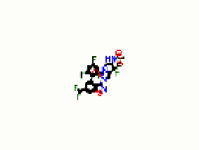 CS(=O)(=O)N[C@@H]1Cn2c(cn(-c3noc4cc(C(F)F)cc(-c5c(F)cc(F)cc5F)c34)c2=O)C1(F)F